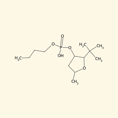 CCCCOP(=O)(O)OC1CC(C)OC1C(C)(C)C